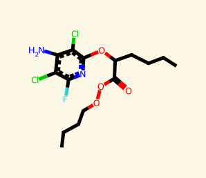 CCCCOOC(=O)C(CCCC)Oc1nc(F)c(Cl)c(N)c1Cl